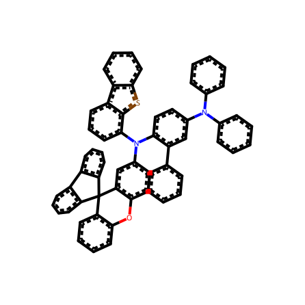 c1ccc(-c2cc(N(c3ccccc3)c3ccccc3)ccc2N(c2ccc3c(c2)C2(c4ccccc4O3)c3ccccc3-c3ccccc32)c2cccc3c2sc2ccccc23)cc1